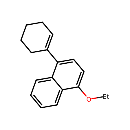 CCOc1ccc(C2=CCCCC2)c2ccccc12